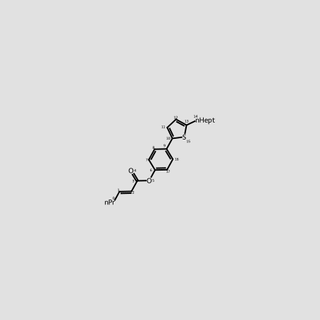 CCCC=CC(=O)Oc1ccc(-c2ccc(CCCCCCC)s2)cc1